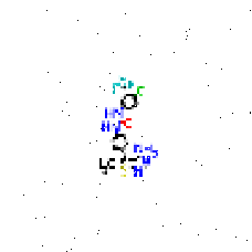 Cc1sc2ncnc(N)c2c1-c1ccc(NC(=O)Nc2ccc(Cl)c(C(F)(F)F)c2)cc1